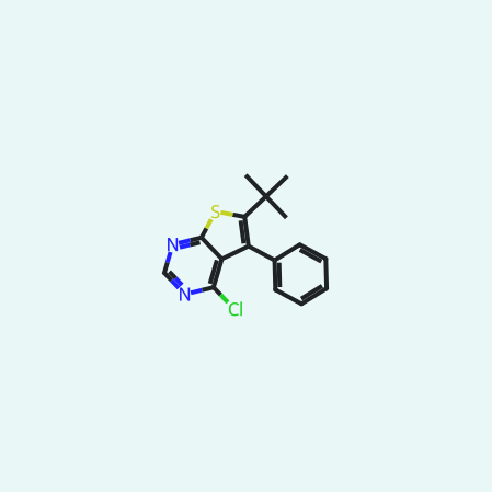 CC(C)(C)c1sc2ncnc(Cl)c2c1-c1ccccc1